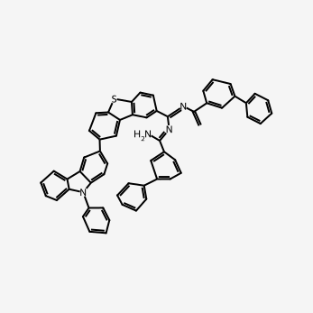 C=C(/N=C(\N=C(/N)c1cccc(-c2ccccc2)c1)c1ccc2sc3ccc(-c4ccc5c(c4)c4ccccc4n5-c4ccccc4)cc3c2c1)c1cccc(-c2ccccc2)c1